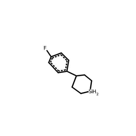 Fc1ccc(C2CC[SiH2]CC2)cc1